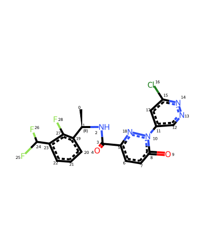 C[C@@H](NC(=O)c1ccc(=O)n(-c2cnnc(Cl)c2)n1)c1cccc(C(F)F)c1F